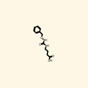 O=C(O)CCCNC(=O)NOCc1ccccc1